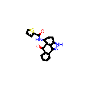 O=C(Nc1ccc2[nH]nc3c2c1C(=O)c1ccccc1-3)c1cccs1